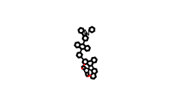 c1ccc(-n2c3ccccc3c3cc(-c4c5ccccc5c(-c5cccc(-c6ccc7c8c(c9ccccc9c7c6)-c6ccc7ccccc7c6C86c7ccccc7-c7ccccc76)c5)c5ccccc45)ccc32)cc1